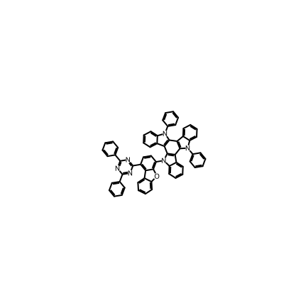 c1ccc(-c2nc(-c3ccccc3)nc(-c3ccc(-n4c5ccccc5c5c6c(c7ccccc7n6-c6ccccc6)c6c(c7ccccc7n6-c6ccccc6)c54)c4oc5ccccc5c34)n2)cc1